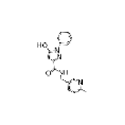 Cc1ccc(CNC(=O)c2cc(O)n(-c3ccccc3)n2)cn1